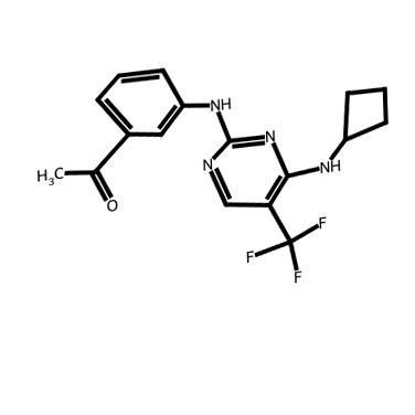 CC(=O)c1cccc(Nc2ncc(C(F)(F)F)c(NC3CCC3)n2)c1